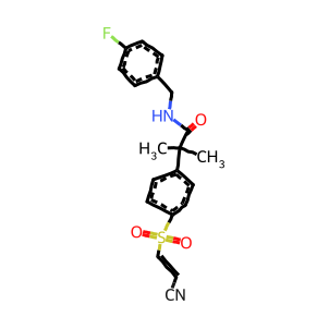 CC(C)(C(=O)NCc1ccc(F)cc1)c1ccc(S(=O)(=O)C=CC#N)cc1